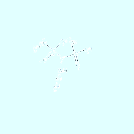 O=P(O)(O)OP(=O)(O)O.[KH].[KH].[KH].[NaH]